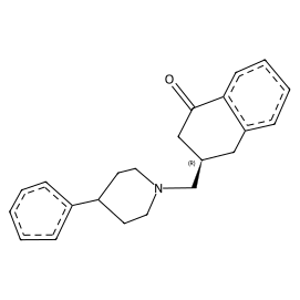 O=C1C[C@H](CN2CCC(c3ccccc3)CC2)Cc2ccccc21